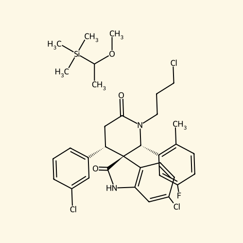 COC(C)[Si](C)(C)C.Cc1ccc(F)cc1[C@H]1N(CCCCl)C(=O)C[C@@H](c2cccc(Cl)c2)[C@]12C(=O)Nc1cc(Cl)ccc12